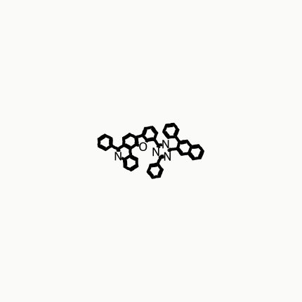 c1ccc(-c2nc(-c3cc4ccccc4cc3-c3ccccc3)nc(-c3cccc4c3oc3c4ccc4c(-c5ccccc5)nc5ccccc5c43)n2)cc1